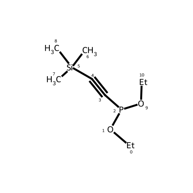 CCOP(C#C[Si](C)(C)C)OCC